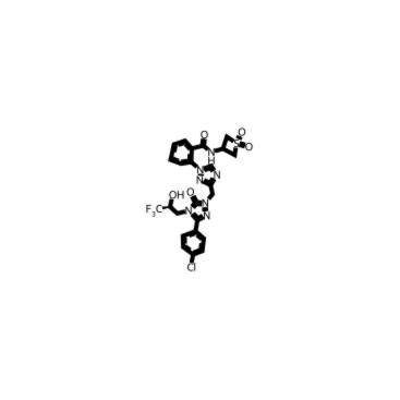 O=C(NC1CS(=O)(=O)C1)c1ccccc1-n1cnc(Cn2nc(-c3ccc(Cl)cc3)n(C[C@H](O)C(F)(F)F)c2=O)n1